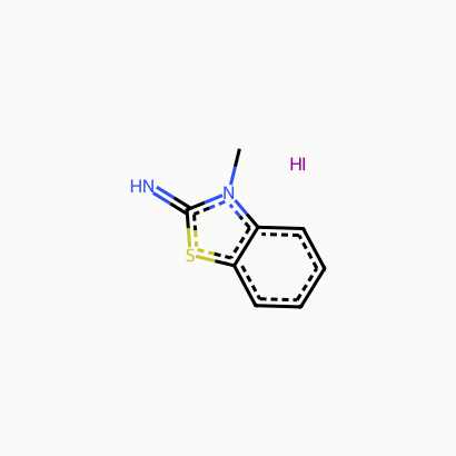 Cn1c(=N)sc2ccccc21.I